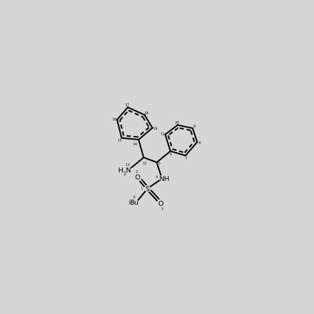 CCC(C)S(=O)(=O)NC(c1ccccc1)C(N)c1ccccc1